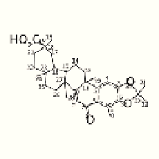 Cc1c2c(cc3c1C(=O)C=C1C3(C)CCC3C4C[C@](C)(C(=O)O)CCC4(C)CCC13C)OC(C)(C)O2